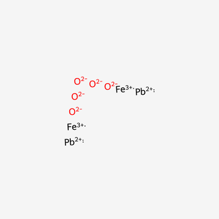 [Fe+3].[Fe+3].[O-2].[O-2].[O-2].[O-2].[O-2].[Pb+2].[Pb+2]